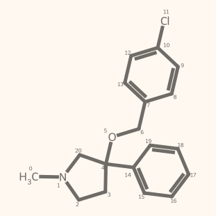 CN1CCC(OCc2ccc(Cl)cc2)(c2ccccc2)C1